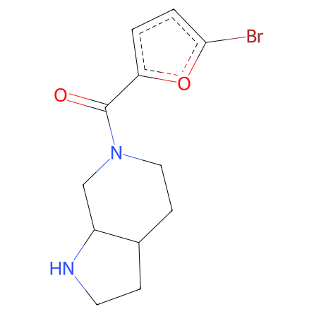 O=C(c1ccc(Br)o1)N1CCC2CCNC2C1